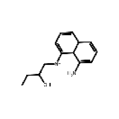 CCC(O)CNC1=CC=CC2C=CC=C(N)C12